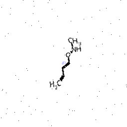 C=C/C=C/ONC